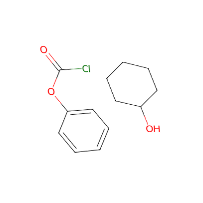 O=C(Cl)Oc1ccccc1.OC1CCCCC1